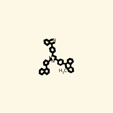 CC12C=CC=CC1c1ccccc1C(C1=CC=C(c3cc(-c4ccc(-c5cncc6ccccc56)cc4)nc(-c4cccc(-c5cccc6ccccc56)c4)n3)CC1)=C2